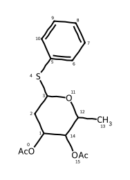 CC(=O)OC1CC(Sc2ccccc2)OC(C)C1OC(C)=O